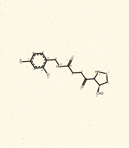 O=C[C@@H]1CSNC1C(=O)CCC(=O)NCc1ccc(Cl)cc1Cl